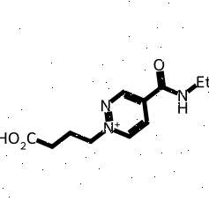 CCNC(=O)c1cc[n+](CCCC(=O)O)nc1